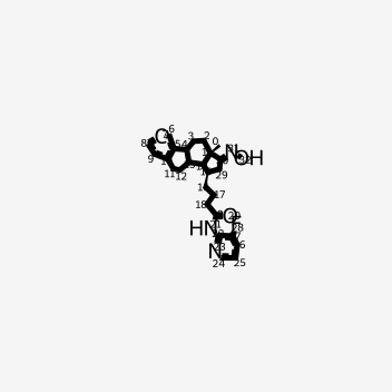 C[C@]12CCC3c4ccccc4CCC3C1[C@H](CCCC(=O)Nc1ncccc1F)C/C2=N\O